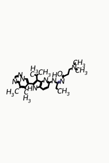 CC/C(=N/C(=O)CCN(C)C)Nc1ccc2[nH]c(-c3cn4ncnc4c(C)c3C)c(C(C)C)c2n1